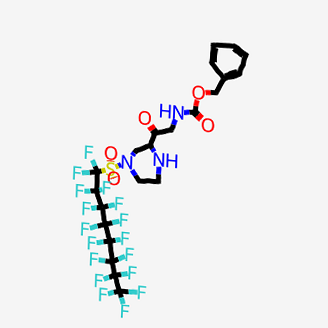 O=C(NCC(=O)C1CN(S(=O)(=O)C(F)(F)C(F)(F)C(F)(F)C(F)(F)C(F)(F)C(F)(F)C(F)(F)C(F)(F)F)CCN1)OCc1ccccc1